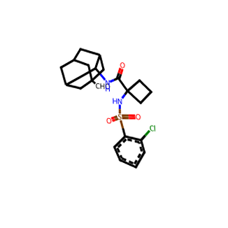 O=CC12CC3CC(C1)C(NC(=O)C1(NS(=O)(=O)c4ccccc4Cl)CCC1)C(C3)C2